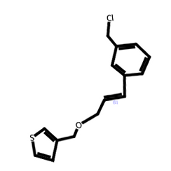 ClCc1cccc(/C=C/COCc2ccsc2)c1